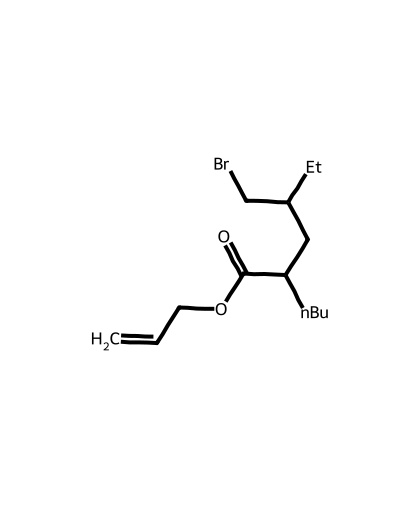 C=CCOC(=O)C(CCCC)CC(CC)CBr